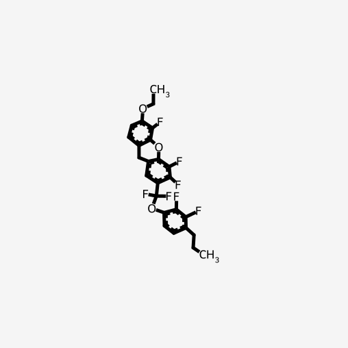 CCCc1ccc(OC(F)(F)c2cc3c(c(F)c2F)Oc2c(ccc(OCC)c2F)C3)c(F)c1F